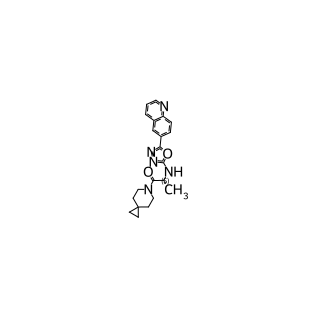 C[C@H](Nc1nnc(-c2ccc3ncccc3c2)o1)C(=O)N1CCC2(CC1)CC2